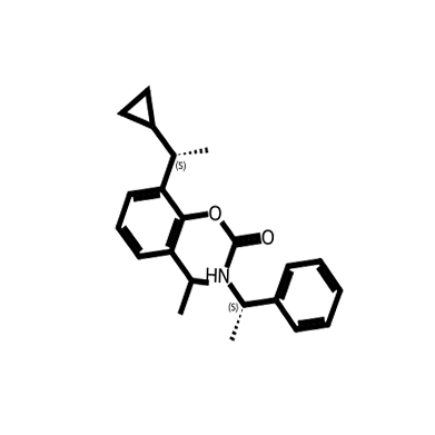 CC(C)c1cccc([C@@H](C)C2CC2)c1OC(=O)N[C@@H](C)c1ccccc1